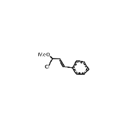 COC(Cl)C=Cc1ccccc1